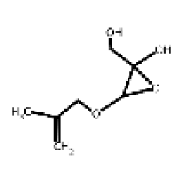 C=C(C)COC1OC1(O)CO